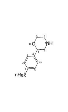 CCCCCCc1ccc(C2CNCCO2)cc1